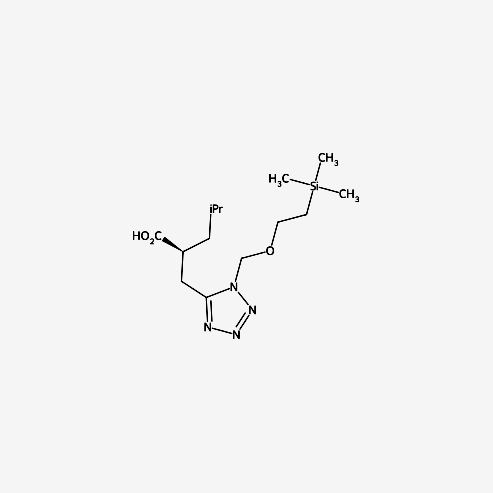 CC(C)C[C@@H](Cc1nnnn1COCC[Si](C)(C)C)C(=O)O